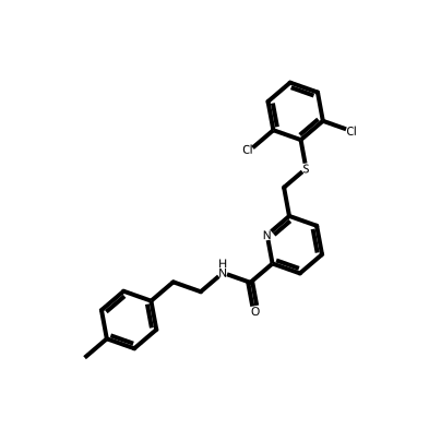 Cc1ccc(CCNC(=O)c2cccc(CSc3c(Cl)cccc3Cl)n2)cc1